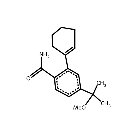 COC(C)(C)c1ccc(C(N)=O)c(C2=CCCCC2)c1